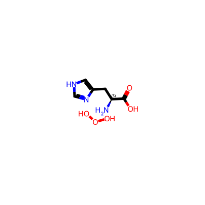 N[C@@H](Cc1c[nH]cn1)C(=O)O.OOO